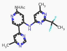 CC(=O)Nc1cc(Nc2cc(C)nc(C(C)(F)F)n2)c(-c2cc(C)ncn2)cn1